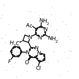 CC(=O)c1c(N)nc(N)nc1N1C[C@H](C)C1c1nn2ccc(Cl)c2c(=O)n1-c1cccc(F)c1